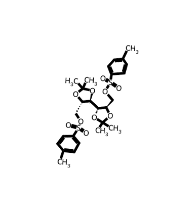 Cc1ccc(S(=O)(=O)OC[C@@H]2OC(C)(C)O[C@H]2[C@H]2OC(C)(C)O[C@@H]2COS(=O)(=O)c2ccc(C)cc2)cc1